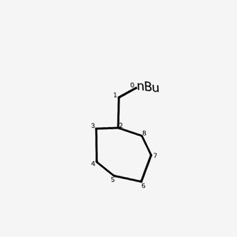 [CH2]CCCCC1CCCCCC1